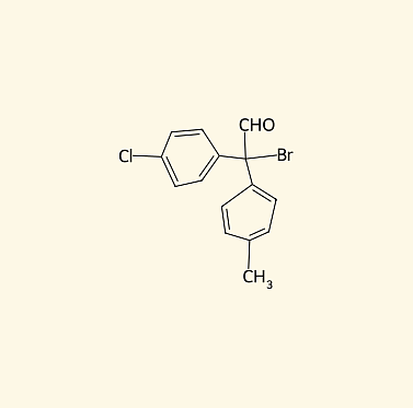 Cc1ccc(C(Br)(C=O)c2ccc(Cl)cc2)cc1